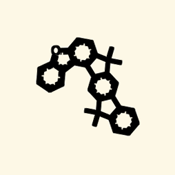 CC1(C)c2ccccc2-c2cc3c(cc21)-c1c(ccc2oc4ccccc4c12)C3(C)C